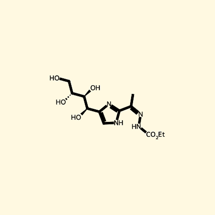 CCOC(=O)N/N=C(/C)c1nc([C@@H](O)[C@H](O)[C@H](O)CO)c[nH]1